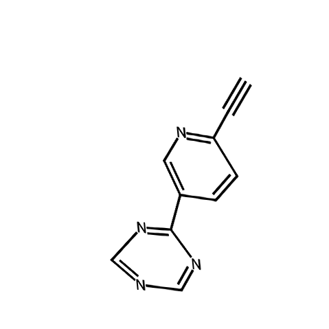 C#Cc1ccc(-c2ncncn2)cn1